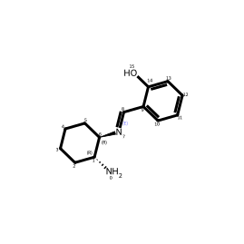 N[C@@H]1CCCC[C@H]1/N=C/c1ccccc1O